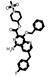 CS(=O)(=O)N1CCC(OC(=O)c2nc(N)c3cc(Cc4ccc(F)cc4)cnc3c2OCc2ccccc2)CC1